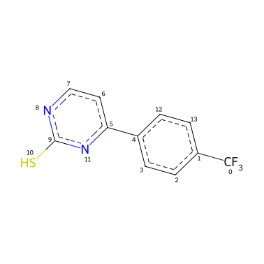 FC(F)(F)c1ccc(-c2ccnc(S)n2)cc1